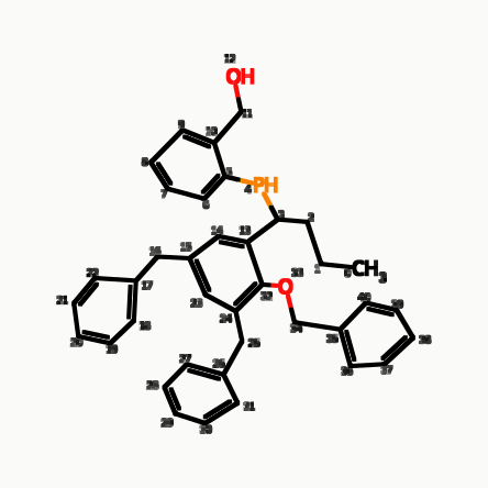 CCCC(Pc1ccccc1CO)c1cc(Cc2ccccc2)cc(Cc2ccccc2)c1OCc1ccccc1